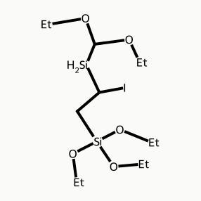 CCOC(OCC)[SiH2]C(I)C[Si](OCC)(OCC)OCC